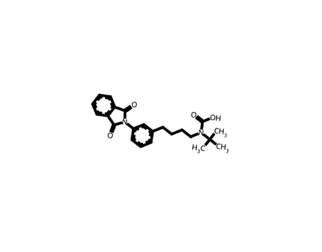 CC(C)(C)N(CCCCc1cccc(N2C(=O)c3ccccc3C2=O)c1)C(=O)O